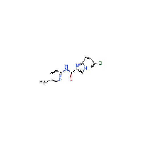 Cc1ccc(NC(=O)c2cn3cc(Cl)ccc3n2)nc1